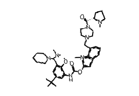 COc1c(NC(=O)Oc2cc3cccc(CN4CCN(C(=O)[C@@H]5CCCN5C)CC4)c3n2C)cc(C(C)(C)C)cc1C(N(C)C)N1CCCCC1